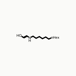 CCCCCCCCCCCCNC=CO